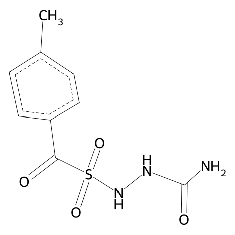 Cc1ccc(C(=O)S(=O)(=O)NNC(N)=O)cc1